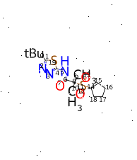 CC(C)(C)c1nnc(NC(=O)C(C)(C)S(=O)(=O)C2CCCC2)s1